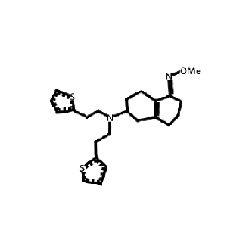 CON=C1CCCC2=C1CCC(N(CCc1cccs1)CCc1cccs1)C2